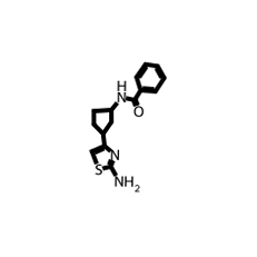 Nc1nc(C2CCC(NC(=O)c3ccccc3)C2)cs1